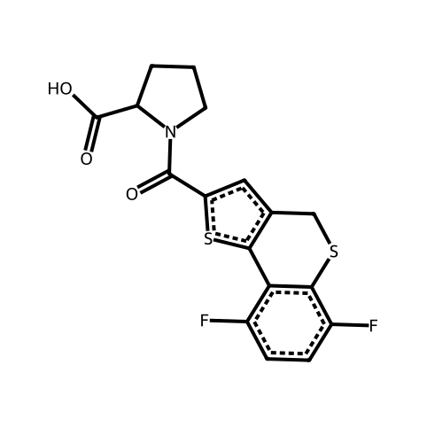 O=C(O)C1CCCN1C(=O)c1cc2c(s1)-c1c(F)ccc(F)c1SC2